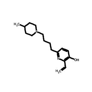 C=Cc1nc(CCCCN2CCC(C)CC2)ccc1O